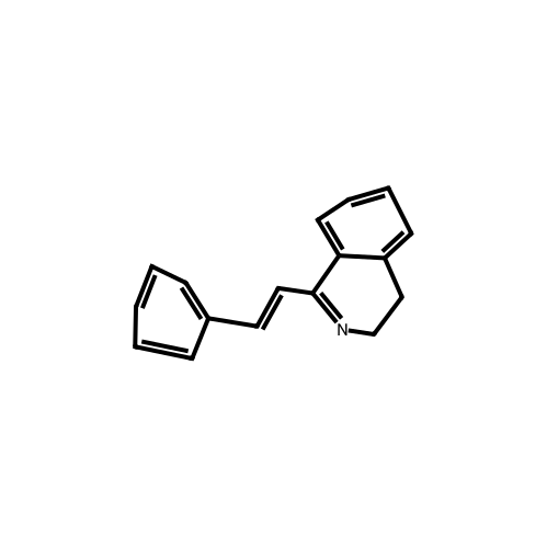 C(=Cc1ccccc1)C1=NCCc2ccccc21